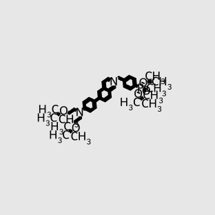 CC(C)(C)OCCN(CCOC(C)(C)C)c1ccc(-c2ccc3c[n+](Cc4ccc(P(=O)(OC(C)(C)C)OC(C)(C)C)cc4)ccc3c2)cc1